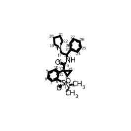 CN(C)S(=O)(=O)c1ccccc1C1(C(=O)NC(CN2CCCC2)c2ccccc2)CC1